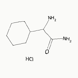 Cl.NC(=O)C(N)C1CCCCC1